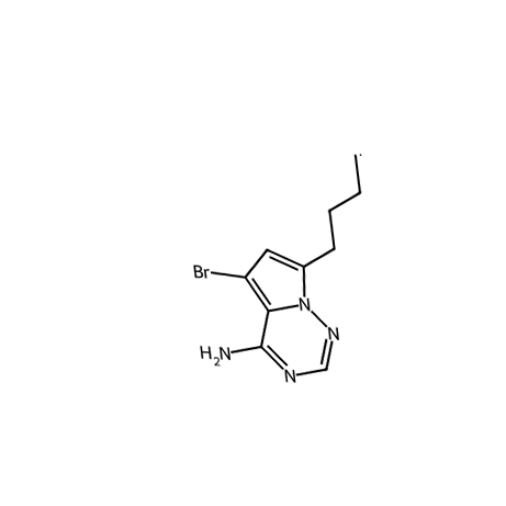 [CH2]CCCc1cc(Br)c2c(N)ncnn12